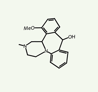 COc1cccc2c1C1CN(C)CCN1c1ccccc1C2O